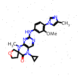 COc1cc(Nc2ncc3c(n2)N(C)C2(CCOC2)C(=O)N3C2CC2)ccc1-n1cnc(C)c1